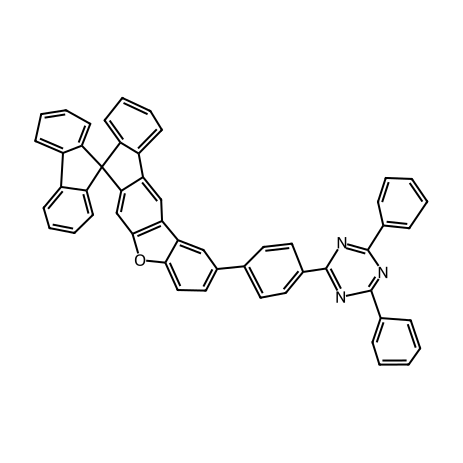 c1ccc(-c2nc(-c3ccccc3)nc(-c3ccc(-c4ccc5oc6cc7c(cc6c5c4)-c4ccccc4C74c5ccccc5-c5ccccc54)cc3)n2)cc1